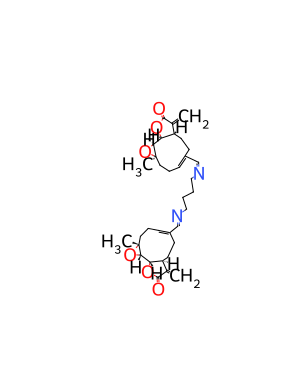 C=C1C(=O)O[C@H]2[C@H]1CCC(/C=N\CCCC/N=C/C1=C/CC[C@@]3(C)O[C@H]3[C@H]3OC(=O)C(=C)[C@@H]3CC1)=C\CC[C@@]1(C)O[C@@H]21